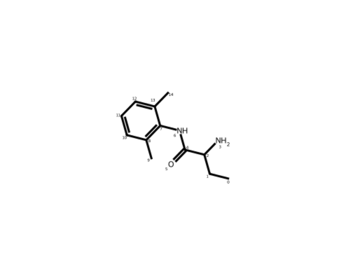 CCC(N)C(=O)Nc1c(C)cccc1C